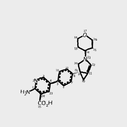 Nc1ncc(-c2ccc([C@@]34CC3=CN(C3CCOCC3)C4)cc2)cc1C(=O)O